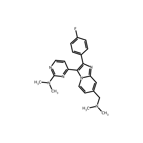 CN(C)Cc1ccn2c(-c3ccnc(N(C)C)n3)c(-c3ccc(F)cc3)nc2c1